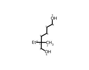 CCC(C)(CO)CCCCO